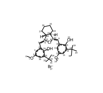 COc1cc(C=[N+]2[Cr][N+](=Cc3cc(OC)cc(C(C)(C)C)c3O)[C@@H]3CCCC[C@H]32)c(O)c(C(C)(C)C)c1.[Br-]